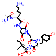 CC[C@H](C)[C@H](NC(=O)[C@H](Cc1ccc(O)cc1)NC(=O)CN1C(=O)CC(NC(=O)[C@H](CCCCN)NC(=O)[C@H](C)N)C1=O)C(=O)O